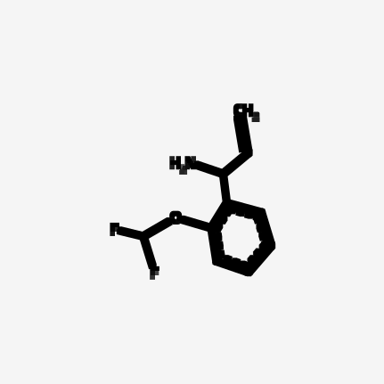 C=CC(N)c1ccccc1OC(F)F